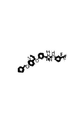 FC(F)(F)c1cccc(Nc2nnc(-c3cccc(Oc4ccnc5cc(OCc6ccccc6)ccc45)c3)[nH]2)c1